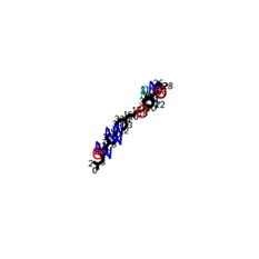 CC(C)Cc1nc(-c2cnc(N3CCC(CCCOc4cc(F)c(C5=NC[C@@H](C)O5)c(F)c4)CC3)nc2)no1